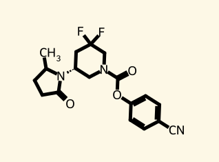 CC1CCC(=O)N1[C@H]1CN(C(=O)Oc2ccc(C#N)cc2)CC(F)(F)C1